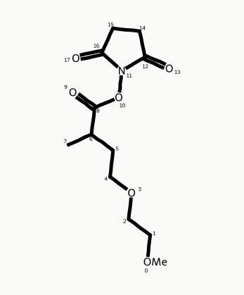 COCCOCCC(C)C(=O)ON1C(=O)CCC1=O